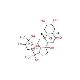 CC[C@H](C[C@@H](O)[C@](C)(O)[C@H]1CC[C@@]2(O)C3=CC(=O)[C@@H]4C[C@@H](O)[C@@H](O)C[C@]4(C)[C@H]3CC[C@]12C)C(C)(C)O